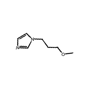 COCCCn1ccnc1